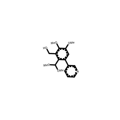 COc1cc(-c2cccnc2)c(C(OC)OC)c(CO)c1OC